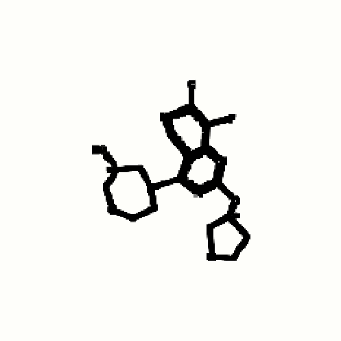 O[C@@H]1COCCN(c2nc(O[C@H]3CCOC3)nc3c(F)c(Cl)ncc23)C1